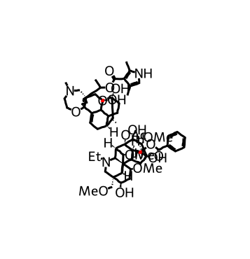 CCN1C[C@]2(COC)[C@H](O)C[C@H](OC)[C@]34C1[C@H]([C@H](OC)[C@H]23)[C@]1(OC(C)=O)[C@H]2[C@@H](OC(=O)c3ccccc3)[C@](O)(C[C@H]24)[C@@H](OC)[C@@H]1O.Cc1c[nH]c(C)c1C(=O)OC(C)C1=CC[C@@]23OCCN(C)C[C@@]12C[C@@H](O)[C@]12O[C@@]4(O)CC[C@@]1(C)[C@H](CC=C32)C4